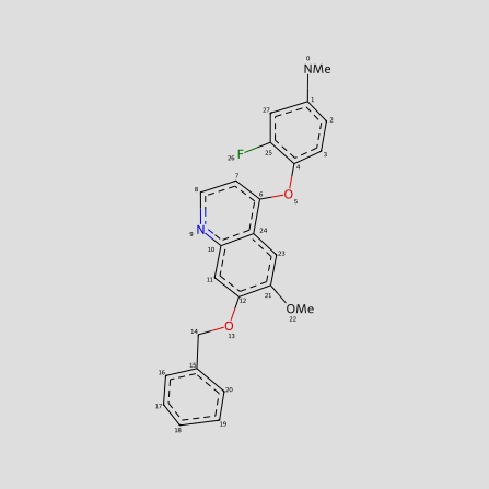 CNc1ccc(Oc2ccnc3cc(OCc4ccccc4)c(OC)cc23)c(F)c1